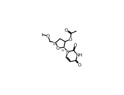 CC(=O)OC1C[C@H](COI)O[C@@H]1n1ccc(=O)[nH]c1=O